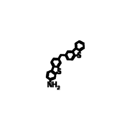 Nc1ccc2c(c1)sc1cc(Cc3ccc4sc5ccccc5c4c3)ccc12